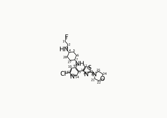 FCCNC1CCC(Nc2cc(Cl)ncc2-c2csc(N3CCOCC3)n2)CC1